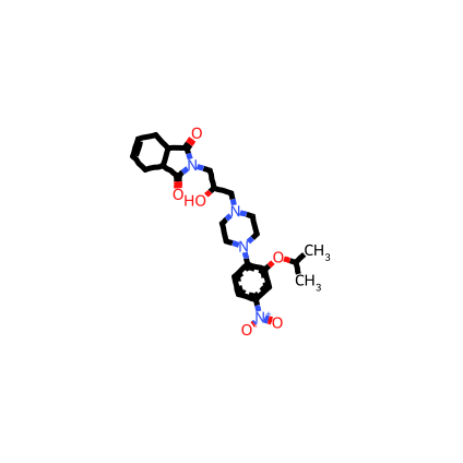 CC(C)Oc1cc([N+](=O)[O-])ccc1N1CCN(CC(O)CN2C(=O)C3CC=CCC3C2=O)CC1